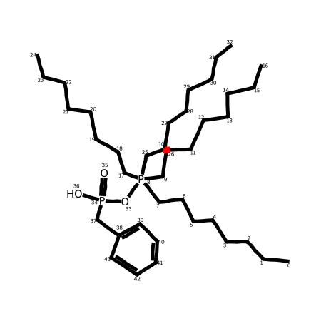 CCCCCCCCP(CCCCCCCC)(CCCCCCCC)(CCCCCCCC)OP(=O)(O)Cc1ccccc1